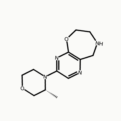 C[C@@H]1COCCN1c1cnc2c(n1)OCCNC2